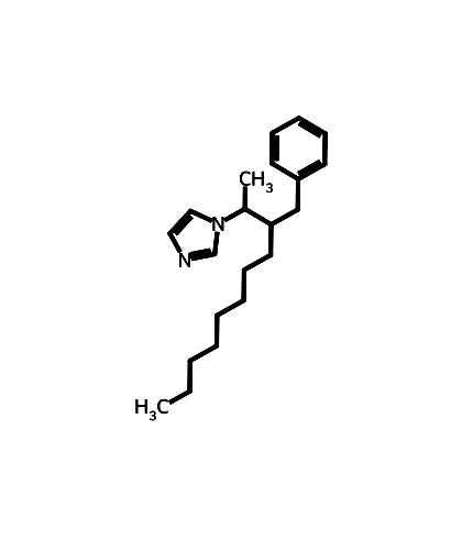 CCCCCCCCC(Cc1ccccc1)C(C)n1ccnc1